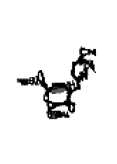 CC(C)(C)OC(=O)N[C@@H](Cc1ccc(C#N)nn1)C(=O)OC(C)(C)C